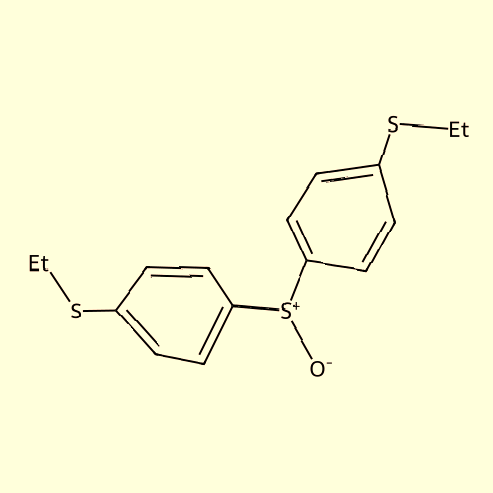 CCSc1ccc([S+]([O-])c2ccc(SCC)cc2)cc1